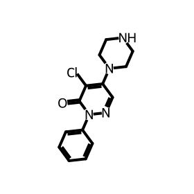 O=c1c(Cl)c(N2CCNCC2)cnn1-c1ccccc1